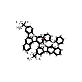 CC(C)(C)c1ccc2c(c1)c1cc3ccccc3c3c4c5c6cc(C(C)(C)C)cc7c8cc9ccccc9c(N(c9ccccc9)c9ccccc9)c8n(c5ccc4n2c13)c76